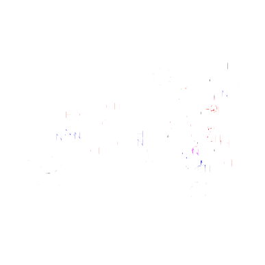 CCC[C@H](OC1C(OC(=O)c2ccccc2)[C@H](O[C@@H]2CC(C(=O)NCCO[C@H]3OC(CO)[C@@H](O)C(n4cc(-c5cc(F)c(F)c(F)c5)nn4)C3O)CC(n3cc(-c4ccccc4)nn3)C2O[C@@H]2OC(C)[C@@H](O)C(O)C2O)OC(CO)[C@@H]1O)C(=O)N1CCC1